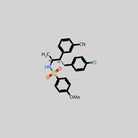 COc1ccc(S(=O)(=O)N[C@@H](C)[C@@H](Cc2ccc(Cl)cc2)c2cccc(C#N)c2)cc1